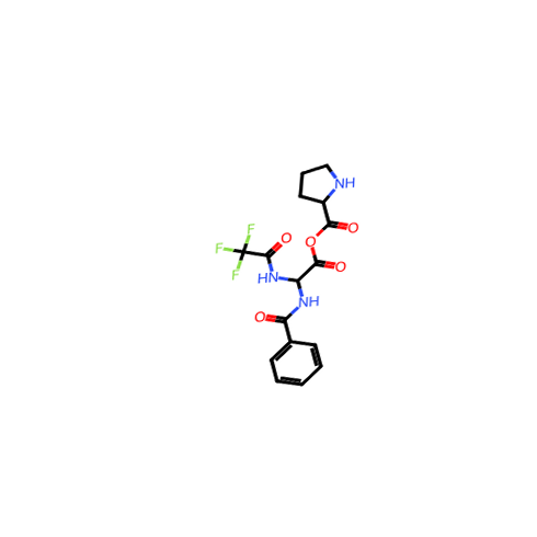 O=C(NC(NC(=O)C(F)(F)F)C(=O)OC(=O)C1CCCN1)c1ccccc1